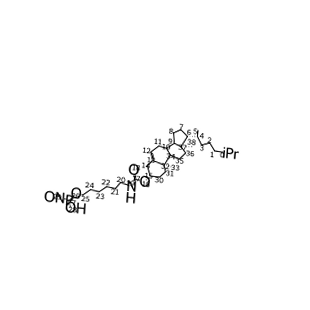 CC(C)CCCC(C)[C@H]1CCC2C3CC=C4C[C@@H](OC(=O)NCCCCCCOP(O)N=O)CC[C@]4(C)C3CC[C@@]21C